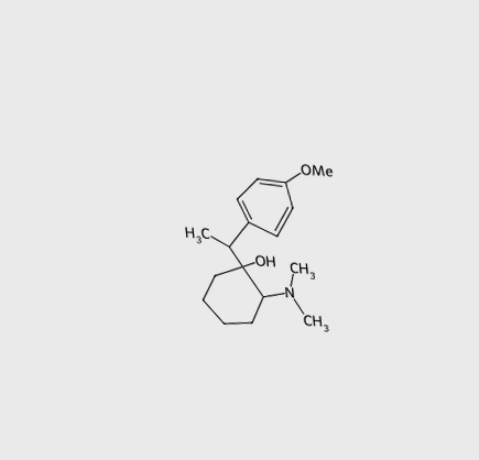 COc1ccc(C(C)C2(O)CCCCC2N(C)C)cc1